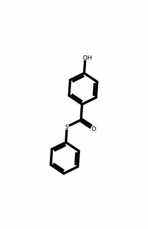 O=C(Sc1ccccc1)c1ccc(O)cc1